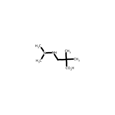 CN(C)NCC(C)(C)C(=O)O